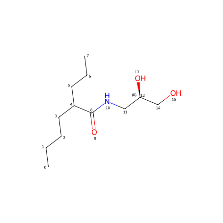 CCCCC(CCC)C(=O)NC[C@@H](O)CO